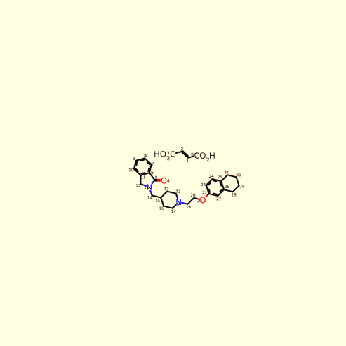 O=C(O)C=CC(=O)O.O=C1c2ccccc2CN1CC1CCN(CCOc2ccc3c(c2)CCCC3)CC1